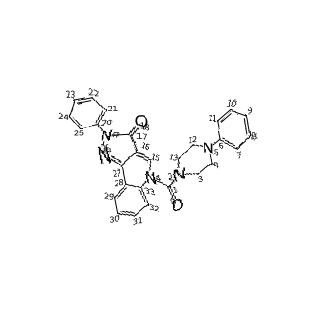 O=C(N1CCN(c2ccccc2)CC1)n1cc2c(=O)n(-c3ccccc3)nc-2c2ccccc21